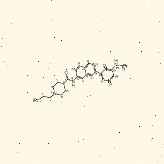 CC(C)CCN1CCC(C(=O)Nc2cc3cc(-c4cncc(NC(C)C)n4)ncc3cn2)CC1